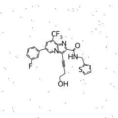 O=C(NCc1cccs1)c1nc2c(C(F)(F)F)cc(-c3cccc(F)c3)cn2c1C#CCCO